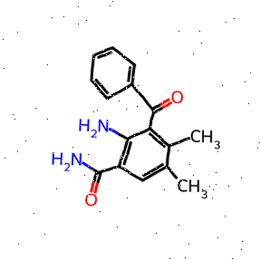 Cc1cc(C(N)=O)c(N)c(C(=O)c2ccccc2)c1C